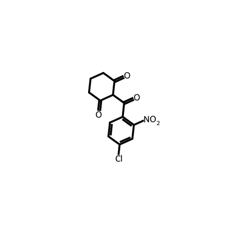 O=C1CCCC(=O)C1C(=O)c1ccc(Cl)cc1[N+](=O)[O-]